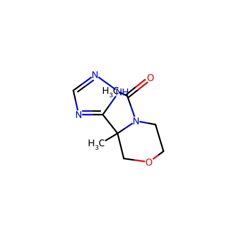 CC(=O)N1CCOCC1(C)c1ncn[nH]1